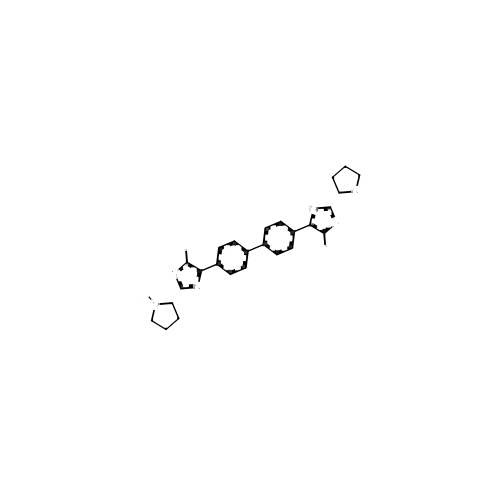 Cc1nc([C@@H]2CCCN2)[nH]c1-c1ccc(-c2ccc(-c3[nH]c([C@@H]4CCCN4C)nc3C)cc2)cc1